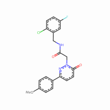 COc1ccc(-c2ccc(=O)n(CC(=O)NCc3cc(F)ccc3Cl)n2)cc1